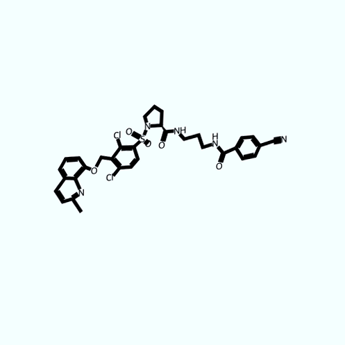 Cc1ccc2cccc(OCc3c(Cl)ccc(S(=O)(=O)N4CCC[C@H]4C(=O)NCCCNC(=O)c4ccc(C#N)cc4)c3Cl)c2n1